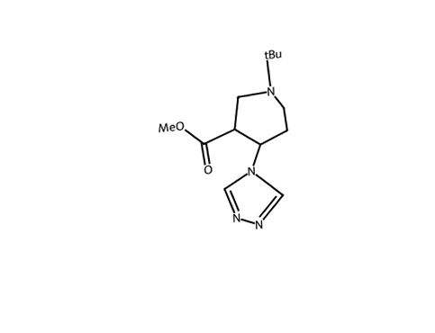 COC(=O)C1CN(C(C)(C)C)CCC1n1cnnc1